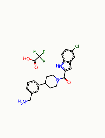 NCc1cccc(C2CCN(C(=O)c3cc4cc(Cl)ccc4[nH]3)CC2)c1.O=C(O)C(F)(F)F